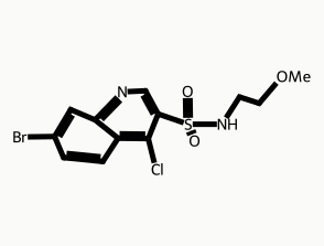 COCCNS(=O)(=O)c1cnc2cc(Br)ccc2c1Cl